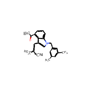 COC(=O)c1cccc2c1c(/C=C(\C#N)C(=O)O)cn2Cc1cc(C)cc(C(F)(F)F)c1